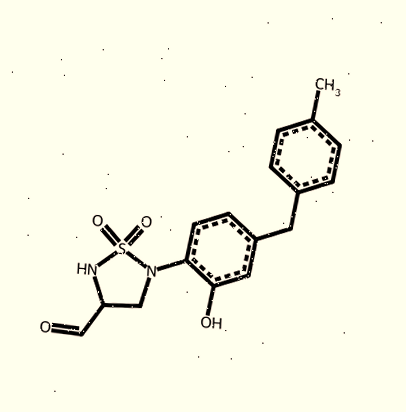 Cc1ccc(Cc2ccc(N3CC(C=O)NS3(=O)=O)c(O)c2)cc1